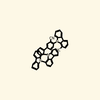 N#Cc1cc(-c2ccccc2-n2c3ccccc3c3cccc(-n4c5ccccc5c5ccccc54)c32)ccc1-n1c2ccccc2c2cccc(C#N)c21